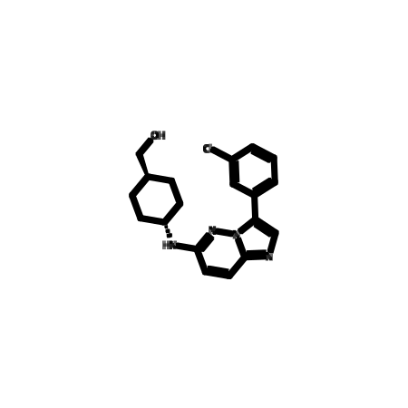 OC[C@H]1CC[C@H](Nc2ccc3ncc(-c4cccc(Cl)c4)n3n2)CC1